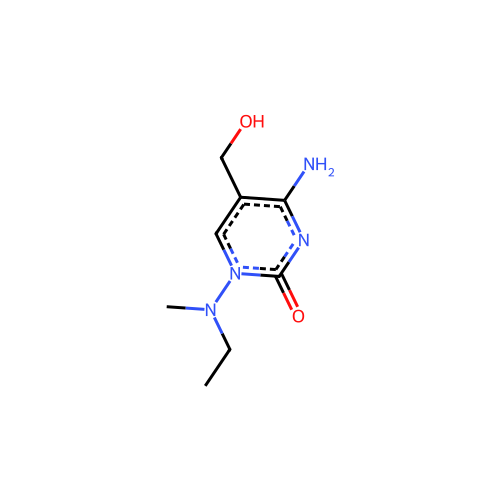 CCN(C)n1cc(CO)c(N)nc1=O